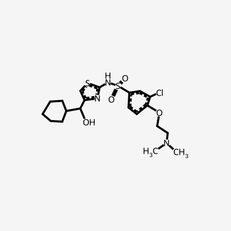 CN(C)CCOc1ccc(S(=O)(=O)Nc2nc(C(O)C3CCCCC3)cs2)cc1Cl